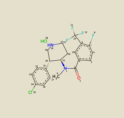 CN(C(=O)c1ccc(F)c(C(F)(F)F)c1)[C@@H]1CCNC[C@H]1c1ccc(Cl)cc1.Cl